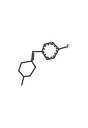 CC1CCC(=Cc2ccc(F)cc2)CC1